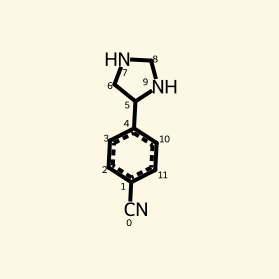 N#Cc1ccc(C2CNCN2)cc1